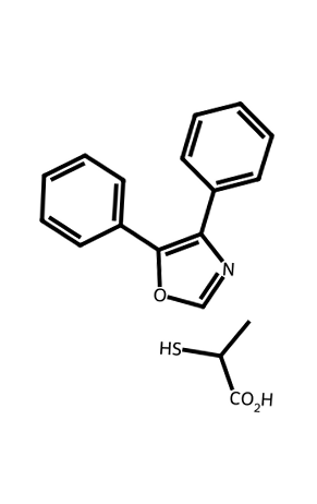 CC(S)C(=O)O.c1ccc(-c2ncoc2-c2ccccc2)cc1